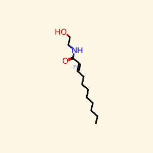 CCCCCCCC/C=C/C(=O)NCCO